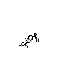 CCOC(=O)c1cn2cc(C3(C#N)CC3)ccc2n1